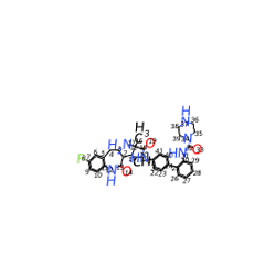 C[C@H](C1CCc2cc(F)ccc2NC1=O)C(C)(N)C(=O)Nc1ccc(-c2ccccc2NC(=O)N2CCNCC2)cc1